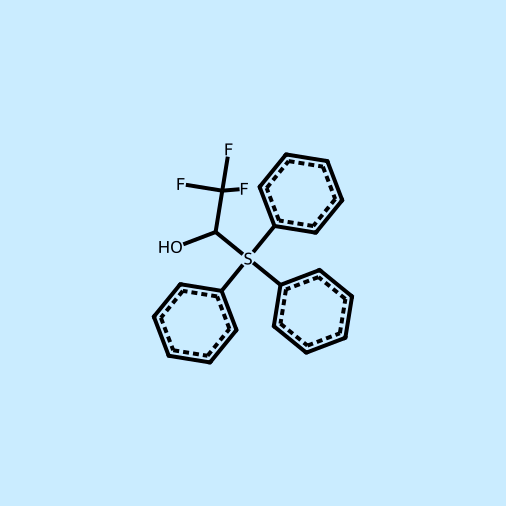 OC(C(F)(F)F)S(c1ccccc1)(c1ccccc1)c1ccccc1